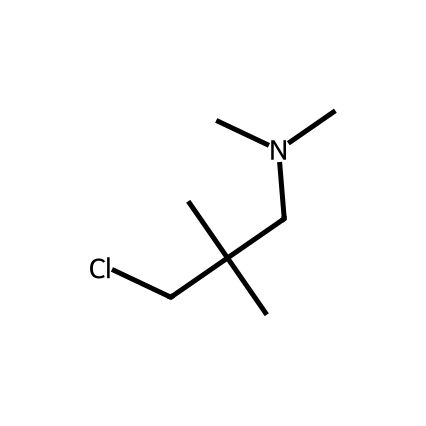 CN(C)CC(C)(C)CCl